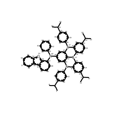 CC(C)c1ccc(N2c3cc(C(C)C)ccc3B3c4ccc(C(C)C)cc4N(c4ccc(C(C)C)cc4)c4cc(N(c5ccccc5)c5cccc6c5oc5ccccc56)cc2c43)cc1